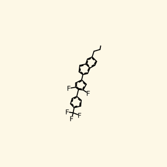 CCCc1ccc2cc(-c3cc(F)c(-c4ccc(C(F)(F)F)cc4)c(F)c3)ccc2c1